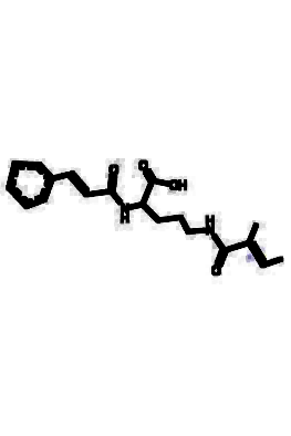 C/C=C(\C)C(=O)NCCCC(NC(=O)C=Cc1ccccc1)C(=O)O